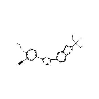 CCOc1ccc(-c2nc(-c3ccc4oc(C(N)(CO)CO)cc4c3)no2)cc1C#N